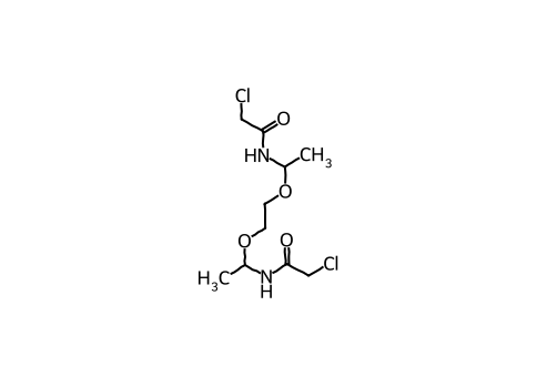 CC(NC(=O)CCl)OCCOC(C)NC(=O)CCl